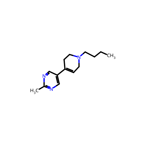 CCCCN1CC=C(c2cnc(C)nc2)CC1